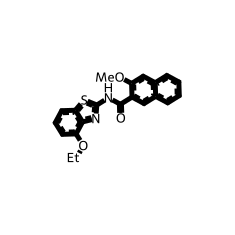 CCOc1cccc2sc(NC(=O)c3cc4ccccc4cc3OC)nc12